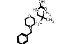 CC(C)(C)C(NC(=O)O)[C@@H]1CN(Cc2ccccc2)CCO1